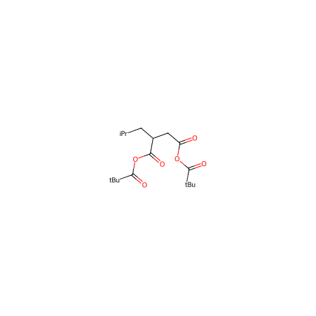 CC(C)CC(CC(=O)OC(=O)C(C)(C)C)C(=O)OC(=O)C(C)(C)C